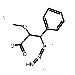 COC(C(=O)[O-])C(N=[N+]=N)c1ccccc1